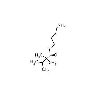 CC(C)C(C)(C)C(=O)CCCCCN